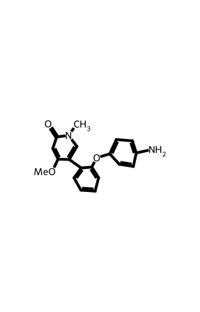 COc1cc(=O)n(C)cc1-c1ccccc1Oc1ccc(N)cc1